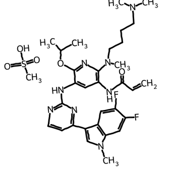 C=CC(=O)Nc1cc(Nc2nccc(-c3cn(C)c4cc(F)c(F)cc34)n2)c(OC(C)C)nc1N(C)CCCCN(C)C.CS(=O)(=O)O